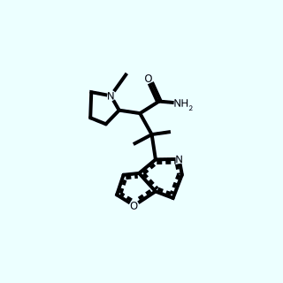 CN1CCCC1C(C(N)=O)C(C)(C)c1nccc2occc12